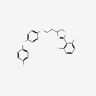 Fc1ccc(Oc2ccc(OCCC3COC(c4c(F)cccc4F)=N3)cc2)cc1